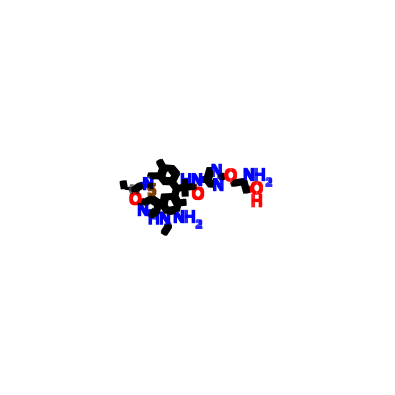 CCNc1ccc(C(c2ccc(C)c(CN3C[C@@H](CC)Oc4ncccc4S3)c2)C(C)(C)C(=O)Nc2cnc(OCC(N)CO)nc2)c(C)c1N